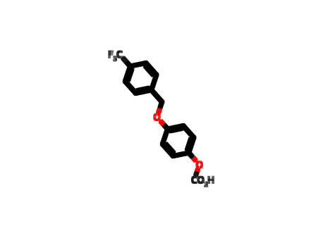 O=C(O)Oc1ccc(OCc2ccc(C(F)(F)F)cc2)cc1